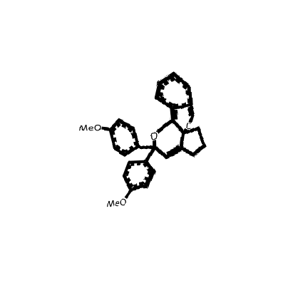 COc1ccc(C2(c3ccc(OC)cc3)C=C3CCCC34CC=c3ccccc3=C4O2)cc1